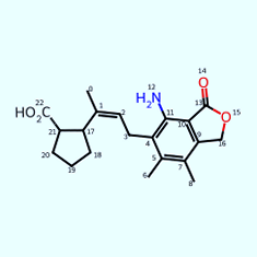 CC(=CCc1c(C)c(C)c2c(c1N)C(=O)OC2)C1CCCC1C(=O)O